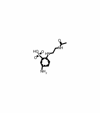 CC(=O)NCCNc1ccc(N)cc1S(=O)(=O)O